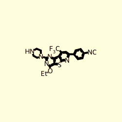 [C-]#[N+]c1ccc(-c2cc(C(F)(F)F)c3c(n2)sc2c(OCC)nc(N4CCNCC4)nc23)cc1